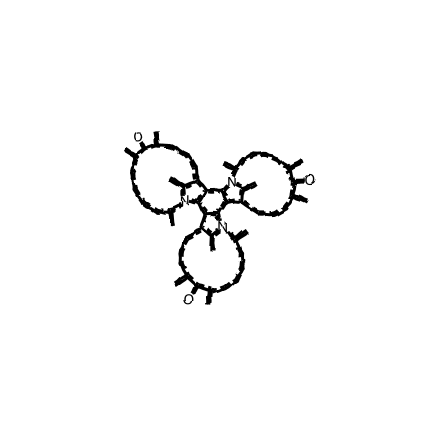 C=c1ccccc(=C)n2c(=C)c(cccc(=C)c1=O)c1c3c(c4cccc(=C)c(=O)c(=C)ccccc(=C)n3c4=C)c3c(c4cccc(=C)c(=O)c(=C)ccccc(=C)n3c4=C)c12